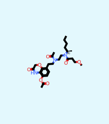 CCCC[C@@H](C)N(CCN(CCc1ccc(OC(C)=O)c2c1OCC(=O)N2)C(C)=O)C(=O)CCOC